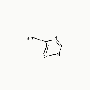 CC(C)C1=N[N]C=N1